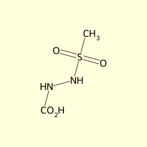 CS(=O)(=O)NNC(=O)O